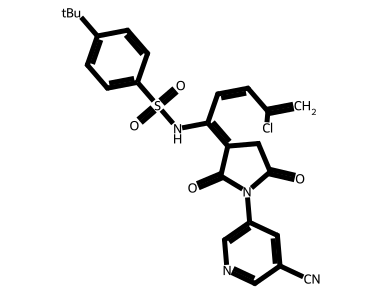 C=C(Cl)/C=C\C(NS(=O)(=O)c1ccc(C(C)(C)C)cc1)=C1/CC(=O)N(c2cncc(C#N)c2)C1=O